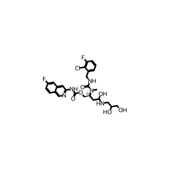 CN(C(=O)NCc1cccc(F)c1Cl)[C@H](COC(=O)Nc1cc2cc(F)ccc2cn1)CC(O)NCC(O)CO